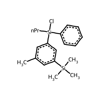 CCC[Si](Cl)(c1ccccc1)c1cc(C)cc([Si](C)(C)C)c1